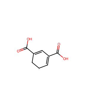 O=C(O)C1=C[CH]CC(C(=O)O)=C1